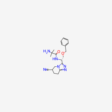 CC(C)(N)C(=O)N[C@H](COCc1ccccc1)c1nnc2n1CC(C#N)CC2